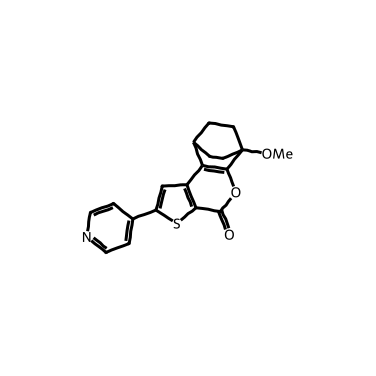 COC12CCC(CC1)c1c2oc(=O)c2sc(-c3ccncc3)cc12